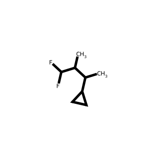 CC(C(F)F)C(C)C1CC1